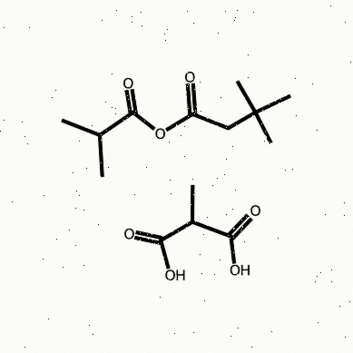 CC(C(=O)O)C(=O)O.CC(C)C(=O)OC(=O)CC(C)(C)C